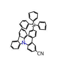 N#Cc1ccc(-n2c3ccccc3c3ccccc32)c(-c2ccc([Si](c3ccccc3)(c3ccccc3)c3ccccc3)cc2)c1